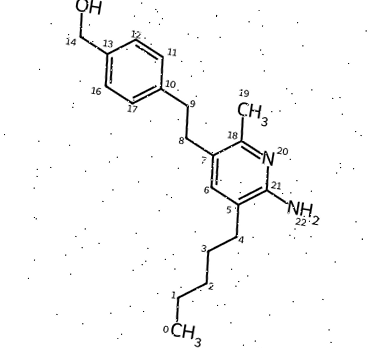 CCCCCc1cc(CCc2ccc(CO)cc2)c(C)nc1N